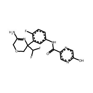 NC1=NC(c2cc(NC(=O)c3cnc(O)cn3)ccc2F)(C(F)F)COC1